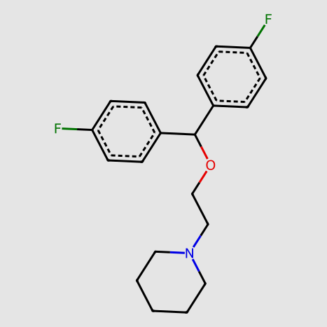 Fc1ccc(C(OCCN2CCCCC2)c2ccc(F)cc2)cc1